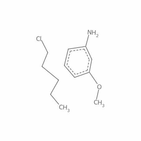 CCCCCCl.COc1cccc(N)c1